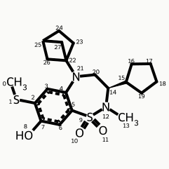 CSc1cc2c(cc1O)S(=O)(=O)N(C)[C@H](C1CCCC1)CN2C12CCC(C1)C2